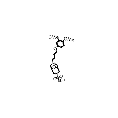 CCCCS(=O)(=O)N1CC2CN(CCCCOc3ccc(OC)c(OC)c3)CC(C1)O2